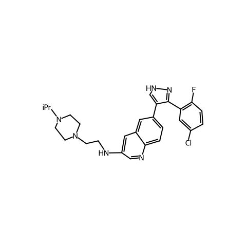 CC(C)N1CCN(CCNc2cnc3ccc(-c4c[nH]nc4-c4cc(Cl)ccc4F)cc3c2)CC1